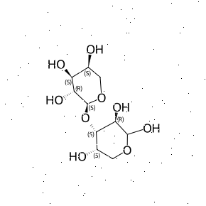 OC1OC[C@H](O)[C@H](O[C@@H]2OC[C@H](O)[C@H](O)[C@H]2O)[C@H]1O